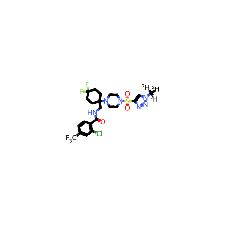 [2H]C([2H])([2H])n1cc(S(=O)(=O)N2CCN(C3(CNC(=O)c4ccc(C(F)(F)F)cc4Cl)CCC(F)(F)CC3)CC2)nn1